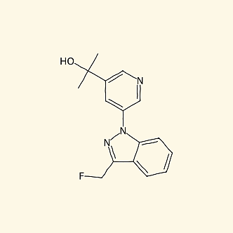 CC(C)(O)c1cncc(-n2nc(CF)c3ccccc32)c1